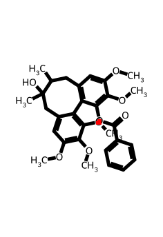 COc1cc2c(c(OC)c1OC)-c1c(cc(OC)c(OC)c1OC(=O)c1ccccc1)CC(C)C(C)(O)C2